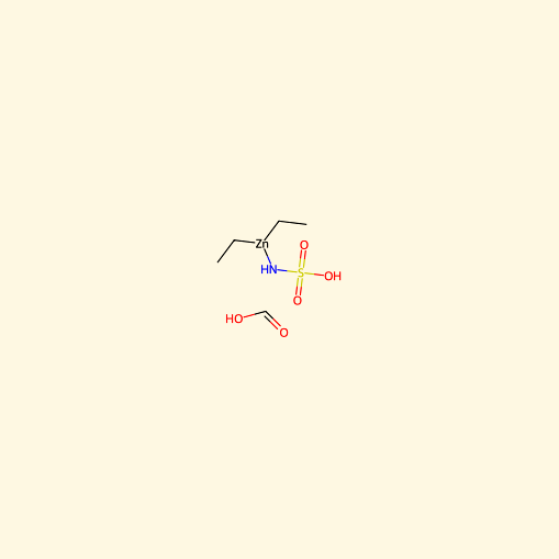 C[CH2][Zn]([CH2]C)[NH]S(=O)(=O)O.O=CO